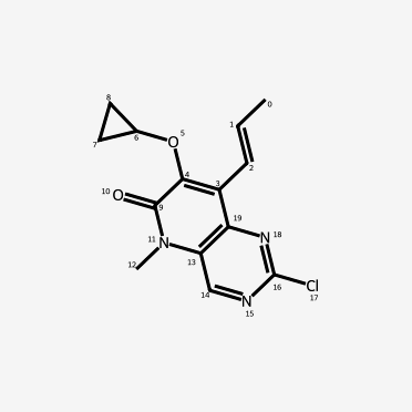 CC=Cc1c(OC2CC2)c(=O)n(C)c2cnc(Cl)nc12